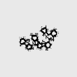 c1ccc(-c2nc(-c3cccc4c3sc3c4ccc4c3c3ccccc3n4-c3cccc4c3oc3ccccc34)nc3ccccc23)cc1